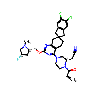 C=CC(=O)N1CCN(c2nc(OC[C@@H]3C[C@@H](F)CN3C)nc3c2CCC2(Cc4cc(Cl)c(Cl)cc4C2)C3)C[C@@H]1CC#N